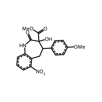 COC(=O)C1(O)C(=O)Nc2cccc([N+](=O)[O-])c2CC1c1ccc(OC)cc1